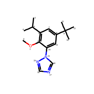 COc1c(C(C)C)cc(C(C)(C)C)cc1-n1cncn1